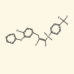 C[Si](C)(C(F)=C(F)Cc1ccc(F)c(Oc2ccccc2)c1)c1ccc(C(F)(F)F)cc1